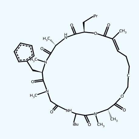 CCC(C)C1NC(=O)CN(C)C(=O)[C@@H](Cc2ccccc2)N(C)C(=O)[C@H](C)NC(=O)[C@@H](CC(C)C)OC(=O)/C(C)=C/CCCCOC(=O)[C@H](C)N(C)C1=O